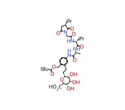 CC(C)C1CC(=O)N(CC(=O)N[C@H](C(=O)N[C@@H](C)C(=O)Nc2ccc(COC(=O)C(C)(C)C)c(CC[C@@H]3O[C@H](C(=O)O)[C@@H](O)[C@H](O)[C@H]3O)c2)C(C)C)C1=O